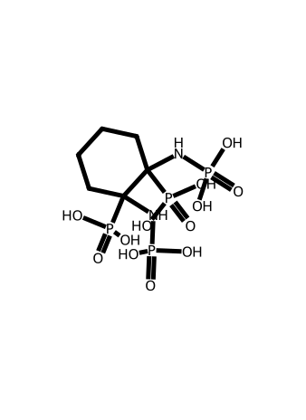 O=P(O)(O)NC1(P(=O)(O)O)CCCCC1(NP(=O)(O)O)P(=O)(O)O